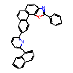 c1ccc(-c2nc3ccc4ccc5cc(-c6cccc(-c7cccc8ccccc78)n6)ccc5c4c3o2)cc1